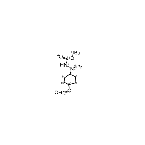 CC(C)N(NC(=O)OC(C)(C)C)C1CCC(OC=O)CC1